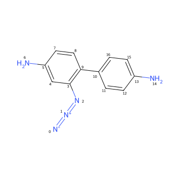 [N-]=[N+]=Nc1cc(N)ccc1-c1ccc(N)cc1